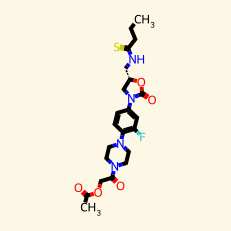 CCCC(=S)NC[C@H]1CN(c2ccc(N3CCN(C(=O)COC(C)=O)CC3)c(F)c2)C(=O)O1